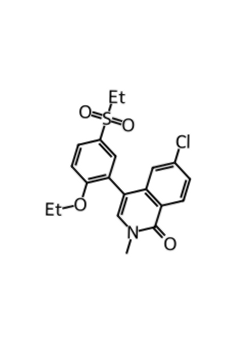 CCOc1ccc(S(=O)(=O)CC)cc1-c1cn(C)c(=O)c2ccc(Cl)cc12